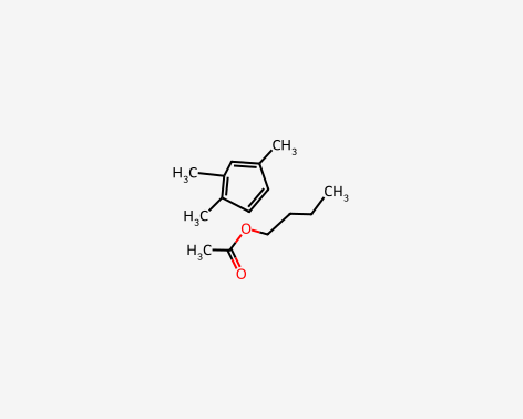 CCCCOC(C)=O.Cc1ccc(C)c(C)c1